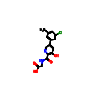 Bc1cc(Cl)cc(-c2cnc(C(=O)NCC(=O)O)c(O)c2)c1